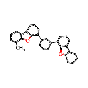 Cc1cccc2c1oc1c(-c3cccc(-c4cccc5c4oc4ccccc45)c3)cccc12